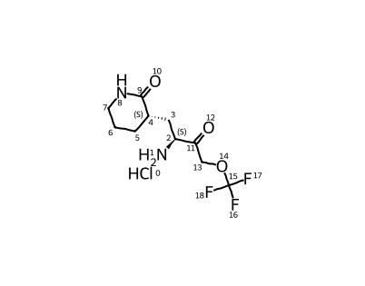 Cl.N[C@@H](C[C@@H]1CCCNC1=O)C(=O)COC(F)(F)F